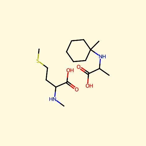 CC(NC1(C)CCCCC1)C(=O)O.CNC(CCSC)C(=O)O